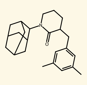 Cc1cc(C)cc(CC2CCCN(C3C4CC5CC(C4)CC3C5)C2=O)c1